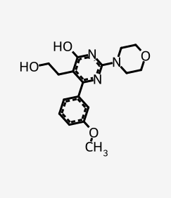 COc1cccc(-c2nc(N3CCOCC3)nc(O)c2CCO)c1